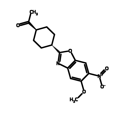 COc1cc2nc([C@H]3CC[C@H](C(C)=O)CC3)oc2cc1[N+](=O)[O-]